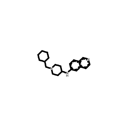 c1cc2cc(NC3CCN(CC4CCCCC4)CC3)ccc2cn1